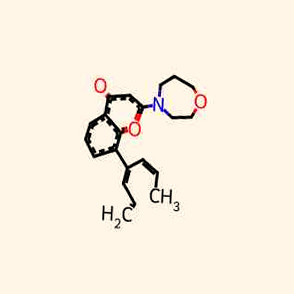 C=C/C=C(\C=C/C)c1cccc2c(=O)cc(N3CCCOCC3)oc12